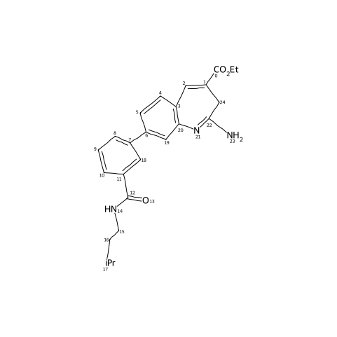 CCOC(=O)C1=Cc2ccc(-c3cccc(C(=O)NCCC(C)C)c3)cc2N=C(N)C1